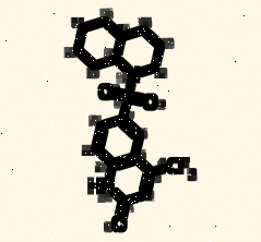 O=c1cc(C(F)(F)F)c2cc(S(=O)(=O)N3CCCC4CCCCC43)ccc2[nH]1